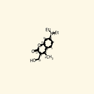 CCN(CC)c1ccc2c(C)c(CO)c(=O)oc2c1